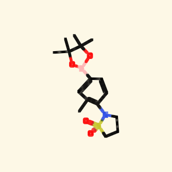 Cc1cc(B2OC(C)(C)C(C)(C)O2)ccc1N1CCCS1(=O)=O